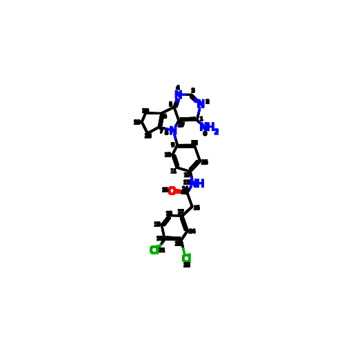 Nc1ncnc2c3c(n(-c4ccc(NC(=O)Cc5ccc(Cl)c(Cl)c5)cc4)c12)CCC3